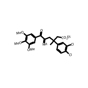 CCOC(=O)CC(C)(CC(=N)C(=O)c1cc(OC)c(OC)c(OC)c1)c1ccc(Cl)c(Cl)c1